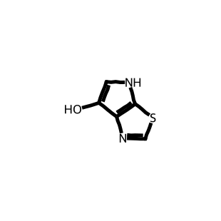 Oc1c[nH]c2scnc12